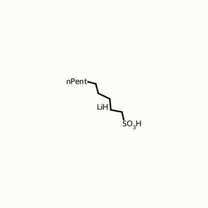 CCCCCCCCCCS(=O)(=O)O.[LiH]